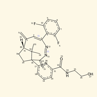 C=C1/C=C(c2c(F)cccc2F)\N=N/C(=C)C2(c3cccc(C(=O)NCCO)n3)CC[C@H]1C2(C)C